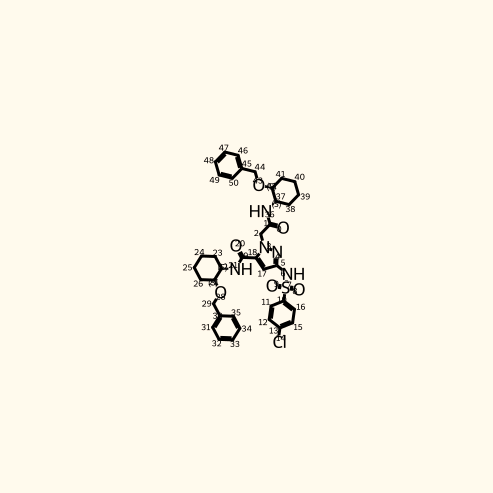 O=C(Cn1nc(NS(=O)(=O)c2ccc(Cl)cc2)cc1C(=O)N[C@H]1CCCC[C@@H]1OCc1ccccc1)N[C@H]1CCCC[C@@H]1OCc1ccccc1